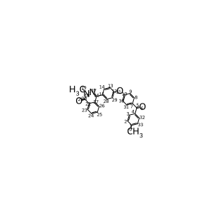 Cc1ccc(C(=O)c2ccc(Oc3ccc(-c4nn(C)c(=O)c5ccccc45)cc3)cc2)cc1